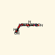 O=C(NCSCSCSC/N=C\OOCSCSCSCOC(=O)NCSCSCSC/N=C/OOCCO)OCCO